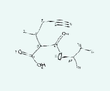 C#CCC(C)C(C(=O)O)C(=O)OC(C)CC